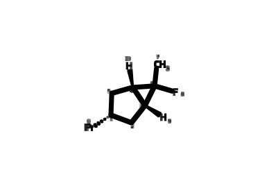 CC(C)[C@H]1C[C@@H]2[C@H](C1)C2(C)F